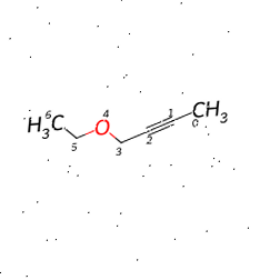 CC#CCOCC